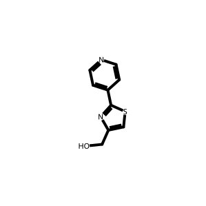 OCc1csc(-c2ccncc2)n1